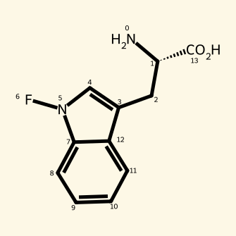 N[C@@H](Cc1cn(F)c2ccccc12)C(=O)O